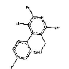 CCc1c(C(C)C)nc(C(C)C)c(COC)c1-c1ccc(F)cc1